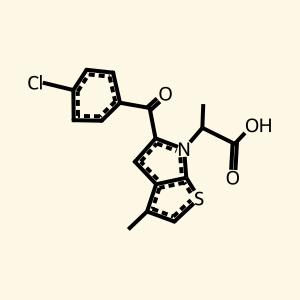 Cc1csc2c1cc(C(=O)c1ccc(Cl)cc1)n2C(C)C(=O)O